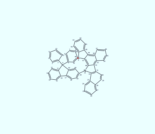 c1ccc(C2(c3ccccc3)c3ccccc3-c3ccc(-n4c5c6ccccc6ccc5c5c6ccccc6c6c7ccccc7sc6c54)cc32)cc1